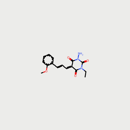 CCN1C(=O)/C(=C/C=C/c2ccccc2OC)C(=O)N(N)C1=O